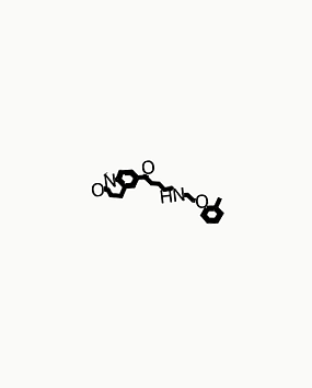 Cc1ccccc1OCCNCCCCC(=O)c1ccc2c(c1)CCC(=O)N2C